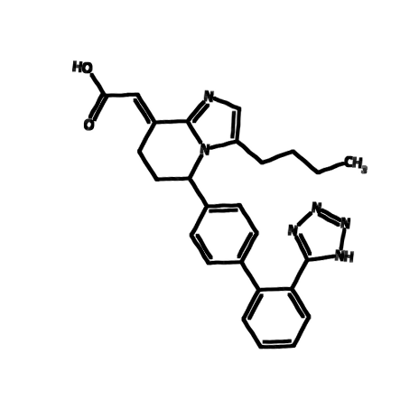 CCCCc1cnc2n1C(c1ccc(-c3ccccc3-c3nnn[nH]3)cc1)CCC2=CC(=O)O